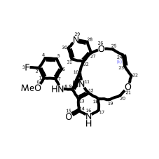 COc1c(F)cccc1Nc1c2[nH]c3c1C(=O)NCC3CCOC/C=C/COc1cnccc1-2